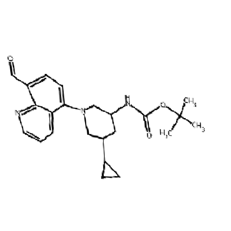 CC(C)(C)OC(=O)NC1CC(C2CC2)CN(c2ccc(C=O)c3ncccc23)C1